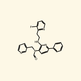 O=CN(Cc1cccnc1)c1ccc(-c2ccccc2)nc1NCCc1ncccc1F